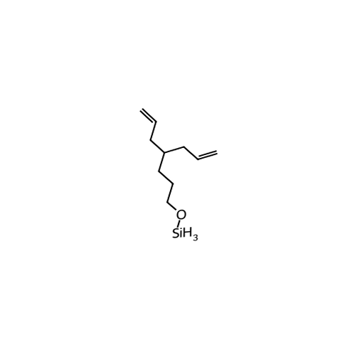 C=CCC(CC=C)CCCO[SiH3]